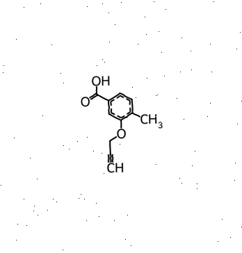 C#CCOc1cc(C(=O)O)ccc1C